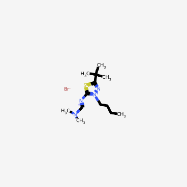 CCCC[n+]1nc(C(C)(C)C)sc1/N=C/N(C)C.[Br-]